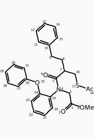 COC(=O)CN(C(=O)C(CCc1ccccc1)CSC(C)=O)c1ccccc1Oc1ccccc1